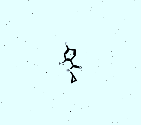 O=C(NC1CC1)c1ccc(F)cc1O